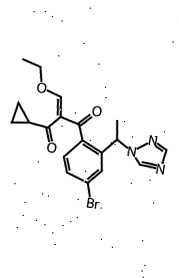 CCOC=C(C(=O)c1ccc(Br)cc1C(C)n1cncn1)C(=O)C1CC1